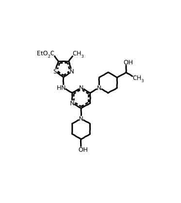 CCOC(=O)c1sc(Nc2nc(N3CCC(O)CC3)cc(N3CCC(C(C)O)CC3)n2)nc1C